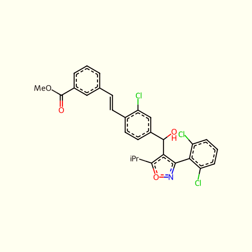 COC(=O)c1cccc(C=Cc2ccc(C(O)c3c(-c4c(Cl)cccc4Cl)noc3C(C)C)cc2Cl)c1